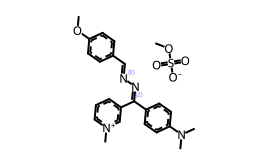 COS(=O)(=O)[O-].COc1ccc(/C=N/N=C(/c2ccc(N(C)C)cc2)c2ccc[n+](C)c2)cc1